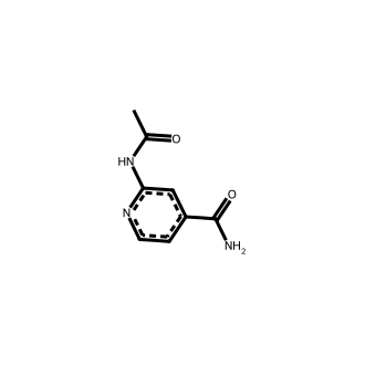 CC(=O)Nc1cc(C(N)=O)ccn1